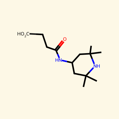 CC1(C)CC(NC(=O)CCC(=O)O)CC(C)(C)N1